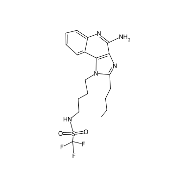 CCCCc1nc2c(N)nc3ccccc3c2n1CCCCNS(=O)(=O)C(F)(F)F